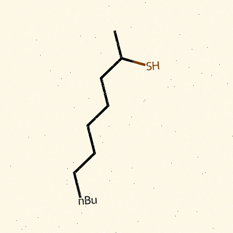 CCCCCCCCCC(C)S